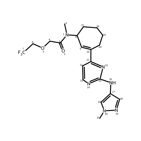 CN(C(=O)COCC(F)(F)F)C1C=C(c2ccnc(Nc3cnn(C)c3)n2)CCCC1